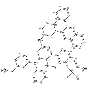 NCc1cccc(Oc2ccccc2N(Cc2ccc(-c3cccc4ccccc34)cc2)C(=O)CCC(=O)NN2CCN(c3ccccc3)CC2)c1.O=C(O)C(F)(F)F